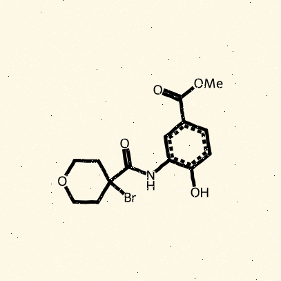 COC(=O)c1ccc(O)c(NC(=O)C2(Br)CCOCC2)c1